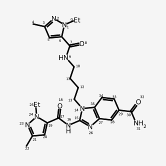 CCn1nc(C)cc1C(=O)NCCCCn1c(NC(=O)c2cc(C)nn2CC)nc2cc(C(N)=O)ccc21